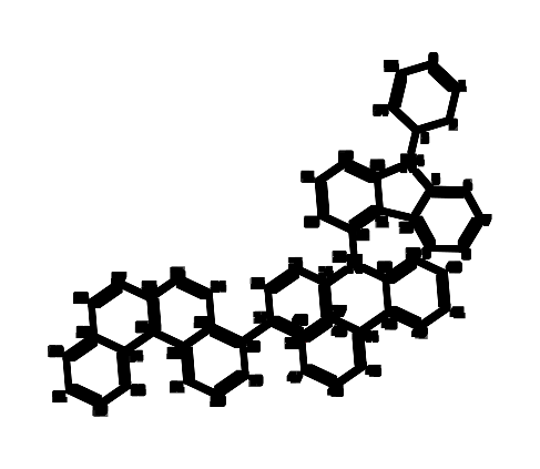 C1=CCC(n2c3ccccc3c3c(N(c4ccc(-c5cccc6c5ccc5ccc7ccccc7c56)cc4)c4ccccc4-c4ccccc4)cccc32)C=C1